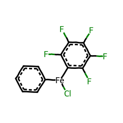 Fc1c(F)c(F)[c]([Fe]([Cl])[c]2ccccc2)c(F)c1F